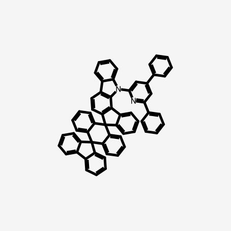 c1ccc(-c2cc(-c3ccccc3)nc(-n3c4ccccc4c4ccc5c(c43)-c3ccccc3C53c4ccccc4C4(c5ccccc5-c5ccccc54)c4ccccc43)c2)cc1